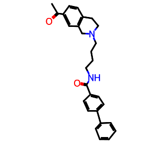 CC(=O)c1ccc2c(c1)CN(CCCCNC(=O)c1ccc(-c3ccccc3)cc1)CC2